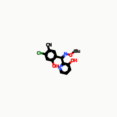 CC(C)(C)ON=C(c1cc(C#N)c(Cl)cc1O)c1ncccc1O